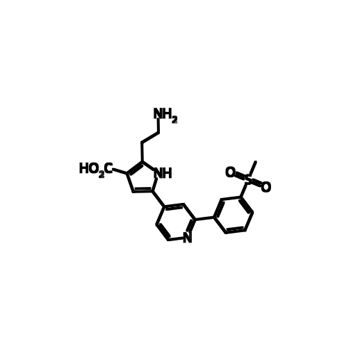 CS(=O)(=O)c1cccc(-c2cc(-c3cc(C(=O)O)c(CCN)[nH]3)ccn2)c1